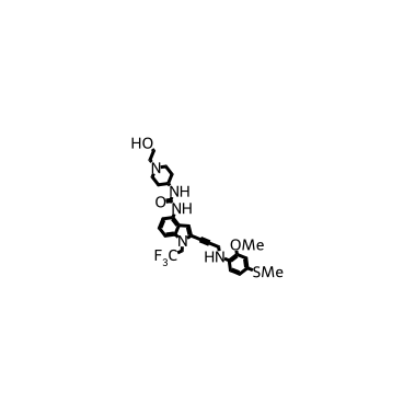 COc1cc(SC)ccc1NCC#Cc1cc2c(NC(=O)NC3CCN(CCO)CC3)cccc2n1CC(F)(F)F